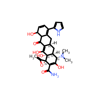 C=C1O[C@]12C(C(N)=O)=C(O)[C@@H](N(C)C)[C@@H]1C[C@@H]3CC4=C(c5ccc[nH]5)C=CC(O)C4C(=O)C3=C(O)[C@@]12O